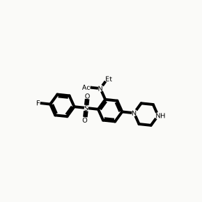 CCN(C(C)=O)c1cc(N2CCNCC2)ccc1S(=O)(=O)c1ccc(F)cc1